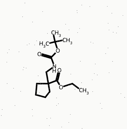 CCOC(=O)C1(CNC(=O)OC(C)(C)C)CCCC1